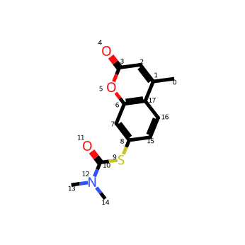 Cc1cc(=O)oc2cc(SC(=O)N(C)C)ccc12